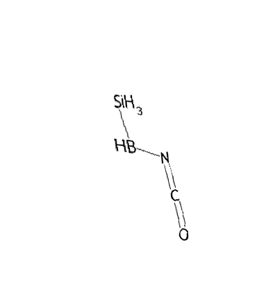 O=C=NB[SiH3]